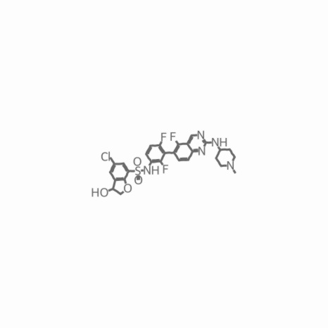 CN1CCC(Nc2ncc3c(F)c(-c4c(F)ccc(NS(=O)(=O)c5cc(Cl)cc6c5OCC6O)c4F)ccc3n2)CC1